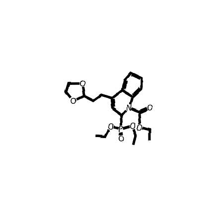 CCOC(=O)N1c2ccccc2C(CCC2OCCO2)=CC1P(=O)(OCC)OCC